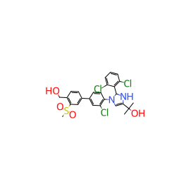 CC(C)(O)C1=CN(c2ccc(-c3ccc(CO)c(S(C)(=O)=O)c3)cc2Cl)C(c2c(Cl)cccc2Cl)N1